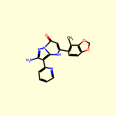 Cc1c(-c2cc(=O)n3nc(N)c(-c4ccccn4)c3[nH]2)ccc2c1OCO2